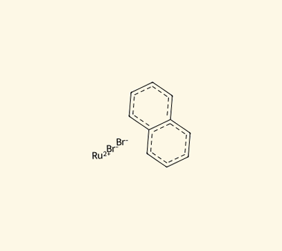 [Br-].[Br-].[Ru+2].c1ccc2ccccc2c1